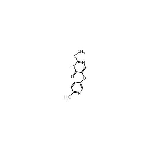 CSc1ncc(Oc2ccc(C)nc2)c(=O)[nH]1